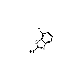 C[CH]c1nc2cccc(F)c2s1